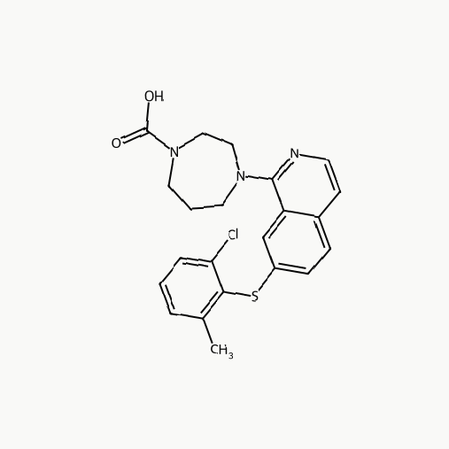 Cc1cccc(Cl)c1Sc1ccc2ccnc(N3CCCN(C(=O)O)CC3)c2c1